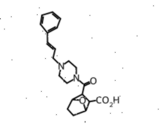 O=C(O)C1C2CCC(O2)C1C(=O)N1CCN(CC=Cc2ccccc2)CC1